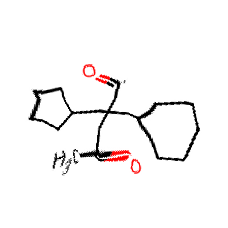 CC(=O)C([C]=O)(C1CCCCC1)C1CCCC1